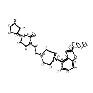 CCOC(=O)c1cc2c(N3CCN(CCN4CCN(C5CCCC5)C4=O)CC3)cccc2o1